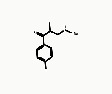 CCCCNCC(C)C(=O)c1ccc(I)cc1